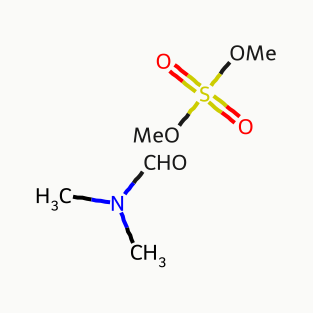 CN(C)C=O.COS(=O)(=O)OC